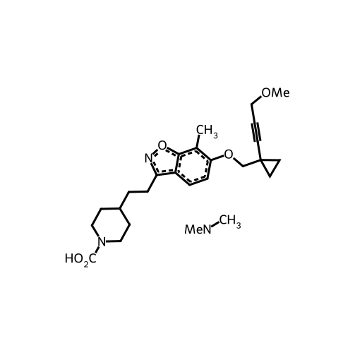 CNC.COCC#CC1(COc2ccc3c(CCC4CCN(C(=O)O)CC4)noc3c2C)CC1